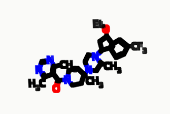 CCOC1CC(N2CCN(C3(C)CCN(C(=O)c4c(C)ncnc4C)CC3)CC2C)c2ccc(C(F)(F)F)cc21